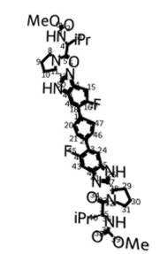 COC(=O)NC(C(=O)N1CCC[C@H]1c1nc2cc(F)c(-c3ccc(-c4cc5[nH]c([C@@H]6CCCN6C(=O)[C@@H](NC(=O)OC)C(C)C)nc5cc4F)cc3)cc2[nH]1)C(C)C